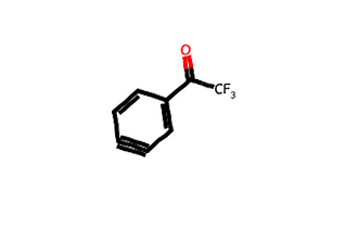 O=C(c1cc#ccc1)C(F)(F)F